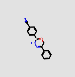 N#Cc1ccc(B2NN=C(c3ccccc3)CO2)cc1